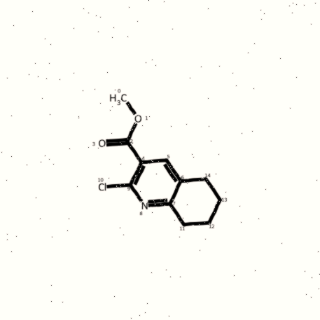 COC(=O)c1cc2c(nc1Cl)CCCC2